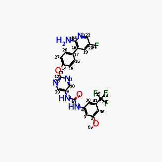 COc1cc(NC(=O)Nc2cnc(Oc3ccc(-c4cc(F)cnc4N)cc3)nc2)cc(C(F)(F)F)c1